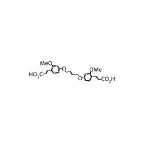 COc1cc(OC/C=C/COc2ccc(/C=C/C(=O)O)c(OC)c2)ccc1/C=C/C(=O)O